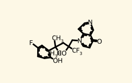 CC(C)(CC(O)(Cn1ccc(=O)c2cnccc21)C(F)(F)F)c1cc(F)ccc1O